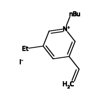 C=Cc1cc(CC)c[n+](CCCC)c1.[I-]